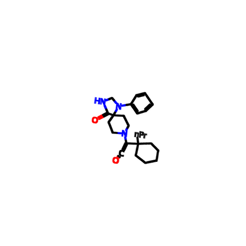 CCCC1(C(=C=O)N2CCC3(CC2)C(=O)NCN3c2ccccc2)CCCCC1